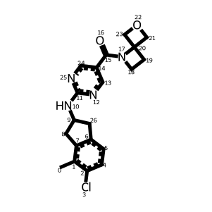 Cc1c(Cl)ccc2c1CC(Nc1ncc(C(=O)N3CCC34COC4)cn1)C2